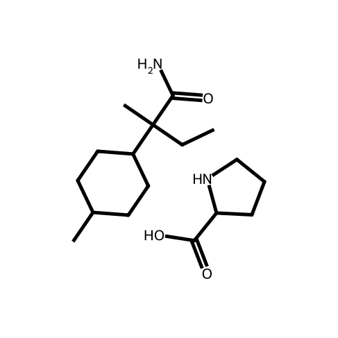 CCC(C)(C(N)=O)C1CCC(C)CC1.O=C(O)C1CCCN1